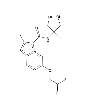 Cc1cc2ccc(OCC(F)F)cn2c1C(=O)NC(C)(CO)CO